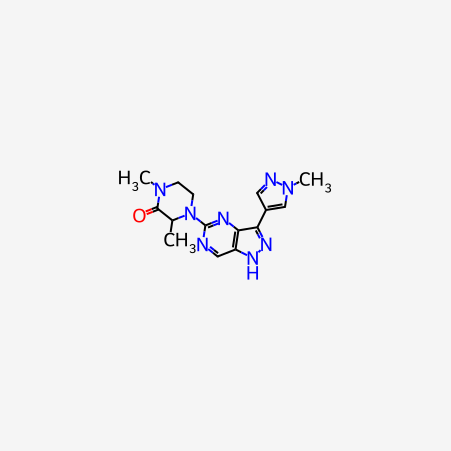 CC1C(=O)N(C)CCN1c1ncc2[nH]nc(-c3cnn(C)c3)c2n1